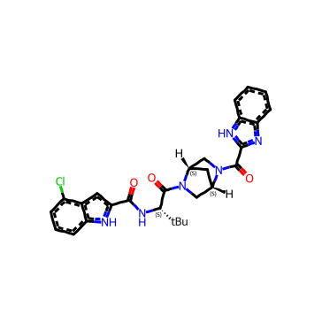 CC(C)(C)[C@H](NC(=O)c1cc2c(Cl)cccc2[nH]1)C(=O)N1C[C@@H]2C[C@H]1CN2C(=O)c1nc2ccccc2[nH]1